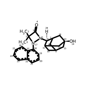 CC1(C)C(=O)N([C@H]2C3CC4CC2C[C@@](O)(C4)C3)N1c1cccc2ccccc12